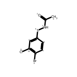 CC(=O)NSc1ccc(Br)c(Cl)c1